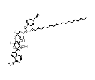 CCCCCCCCCCCCCCCCCCOC[C@H](COP(=O)(O)OC1[C@H]2O[C@@](C)(c3ccc4c(N)ncnn34)[C@H](O)[C@@]12O)Oc1ccc(C#N)cn1